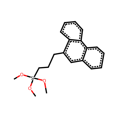 CO[Si](CCCc1cc2ccccc2c2ccccc12)(OC)OC